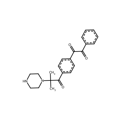 CC(C)(C(=O)c1ccc(C(=O)C(=O)c2ccccc2)cc1)N1CCNCC1